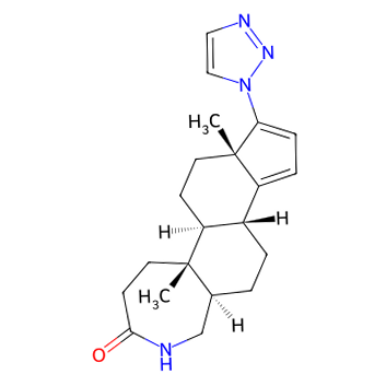 C[C@]12CC[C@H]3[C@@H](CC[C@H]4CNC(=O)CC[C@@]43C)C1=CC=C2n1ccnn1